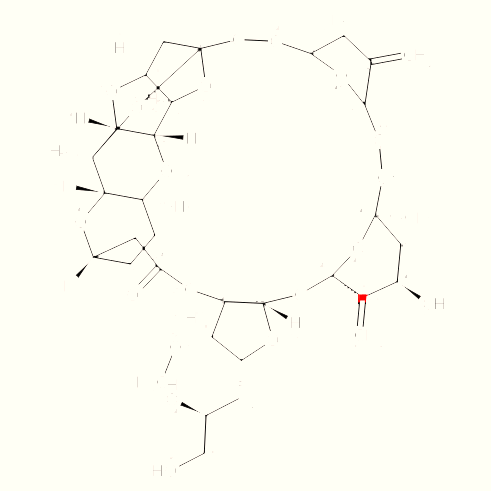 C=C1C[C@@H]2CCC34C[C@@H]5O[C@H]6[C@@H](O3)[C@H]3O[C@@H](CC[C@@H]3O[C@H]6[C@@H]5O4)CC(=O)C[C@@H]3[C@@H](OC)[C@@H](C[C@H](O)CO)O[C@H]3C[C@H]3O[C@@H](CCC1O2)C[C@@H](C)C3=C